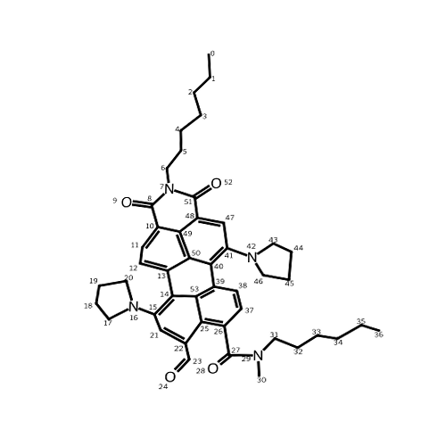 CCCCCCCN1C(=O)c2ccc3c4c(N5CCCC5)cc(C=O)c5c(C(=O)N(C)CCCCCC)ccc(c6c(N7CCCC7)cc(c2c36)C1=O)c54